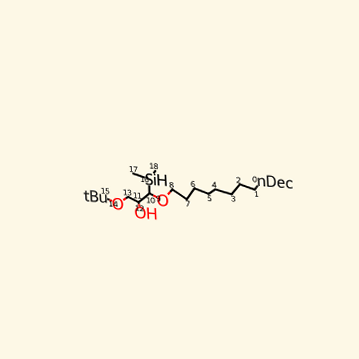 CCCCCCCCCCCCCCCCCCOC(C(O)COC(C)(C)C)[SiH](C)C